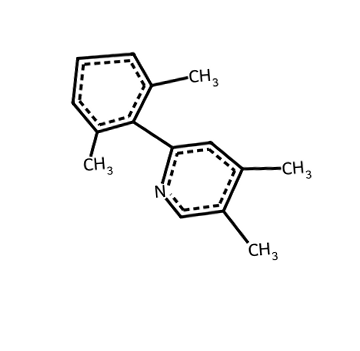 Cc1cnc(-c2c(C)cccc2C)cc1C